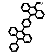 O=Cc1c2ccccc2c(-c2ccc(-c3c4ccccc4c(-c4ccccc4)c4ccccc34)cc2)c2ccccc12